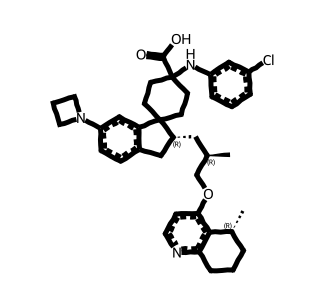 C[C@@H](COc1ccnc2c1[C@H](C)CCC2)C[C@@H]1Cc2ccc(N3CCC3)cc2C12CCC(Nc1cccc(Cl)c1)(C(=O)O)CC2